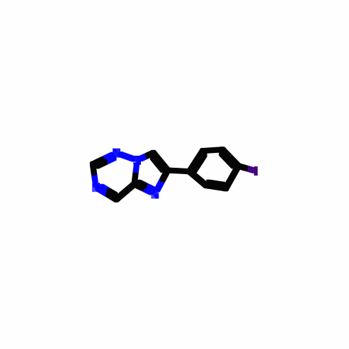 Ic1ccc(-c2cn3ncncc3n2)cc1